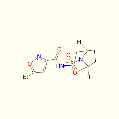 CCc1cc(C(=O)N[C@H]2C[C@H]3CC[C@@H](C2)N3S(C)(=O)=O)no1